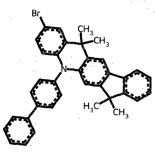 CC1(C)c2ccccc2-c2cc3c(cc21)N(c1ccc(-c2ccccc2)cc1)c1ccc(Br)cc1C3(C)C